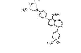 CC(=O)Nc1c(-c2ccc(N3C[C@@H](C)O[C@@H](C)C3)cc2)cnc2c(C3=CCC(C)(C#N)C=C3)cccc12